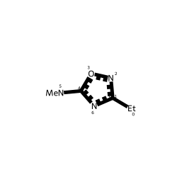 CCc1noc(NC)n1